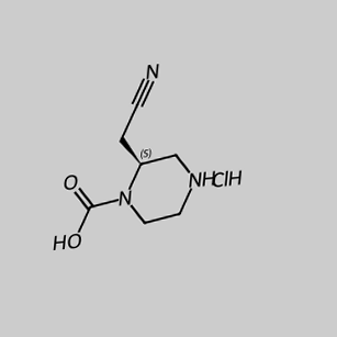 Cl.N#CC[C@H]1CNCCN1C(=O)O